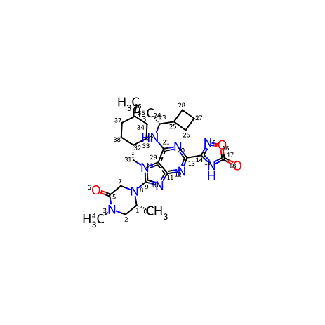 C[C@@H]1CN(C)C(=O)CN1c1nc2nc(-c3noc(=O)[nH]3)nc(N[C@H](C)C3CCC3)c2n1C[C@H]1CC[C@H](C)CC1